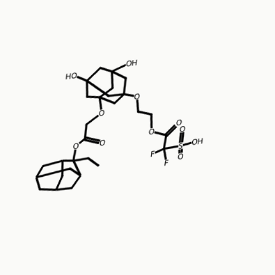 CCC1(OC(=O)COC23CC4(O)CC(O)(CC(OCCOC(=O)C(F)(F)S(=O)(=O)O)(C4)C2)C3)C2CC3CC(C2)CC1C3